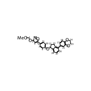 COCOc1cc(-c2ccc(OC3CCc4c(-c5ccc6c(c5)OCCO6)cccc43)cc2)on1